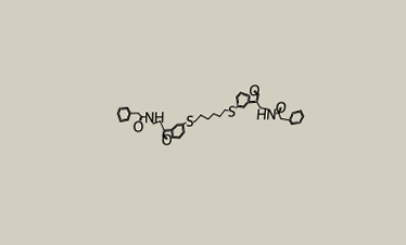 O=C(Cc1ccccc1)NCCc1coc2ccc(SCCCCCCSc3ccc4occ(CCNC(=O)Cc5ccccc5)c4c3)cc12